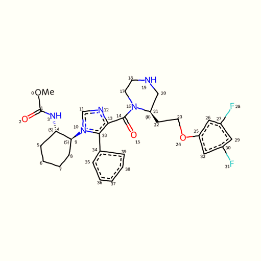 COC(=O)N[C@H]1CCCC[C@@H]1n1cnc(C(=O)N2CCNC[C@H]2CCOc2cc(F)cc(F)c2)c1-c1ccccc1